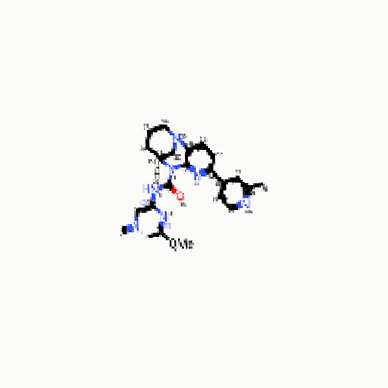 C=N/C=C(\N=C(/C)OC)NC(=O)N1c2nc(-c3ccnc(C)c3)ccc2N2CCC[C@H]1C2